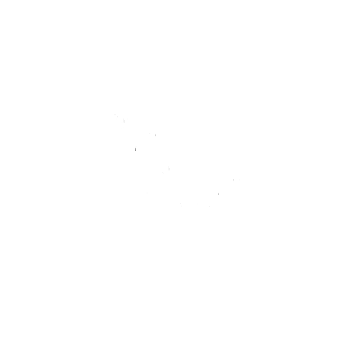 [O-]c1ccccc1.[O-]c1ccccc1.[O-]c1ccccc1.[O-]c1ccccc1.[Ru+4]